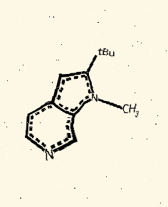 Cn1c(C(C)(C)C)cc2ccncc21